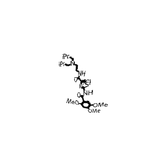 COc1cc(OC)c(C(=O)Nc2nc(C(=O)NCCN(CC(C)C)CC(C)C)cs2)cc1OC.Cl